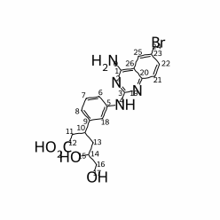 Nc1nc(Nc2cccc(C(CC(=O)O)CC(O)CO)c2)nc2ccc(Br)cc12